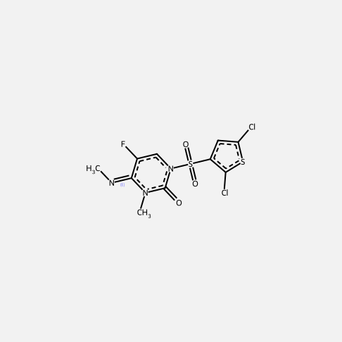 C/N=c1\c(F)cn(S(=O)(=O)c2cc(Cl)sc2Cl)c(=O)n1C